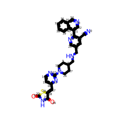 N#Cc1cc(CNCC2CCN(c3nccc(/C=C4\SC(=O)NC4=O)n3)CC2)cnc1-c1cncc2ccccc12